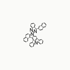 c1ccc2cc(-c3nc(-n4c5ccc6ccccc6c5c5c6c7ccccc7n7c8ccccc8c(cc54)c67)nc4ccccc34)ccc2c1